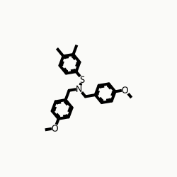 COc1ccc(CN(Cc2ccc(OC)cc2)Sc2ccc(C)c(C)c2)cc1